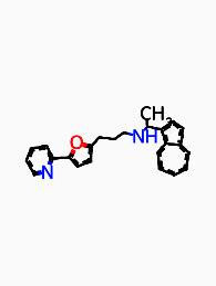 CC(NCCCc1ccc(-c2ccccn2)o1)c1ccc2cccccc1-2